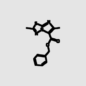 Cc1nn2c(C(=O)OCc3ccccc3)c(C)nc2s1